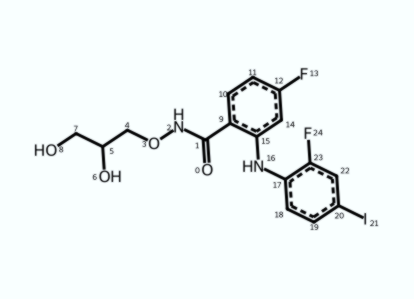 O=C(NOCC(O)CO)c1ccc(F)cc1Nc1ccc(I)cc1F